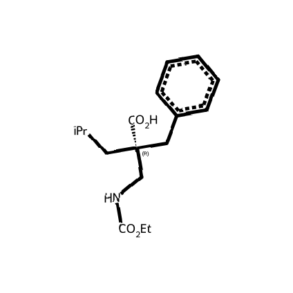 CCOC(=O)NC[C@](Cc1ccccc1)(CC(C)C)C(=O)O